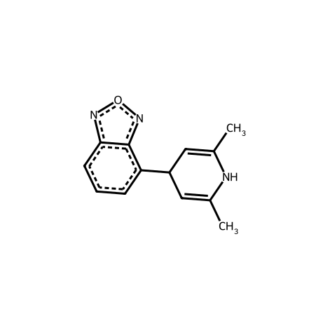 CC1=CC(c2cccc3nonc23)C=C(C)N1